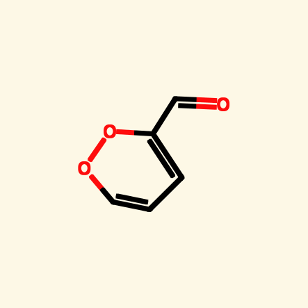 O=CC1=CC=COO1